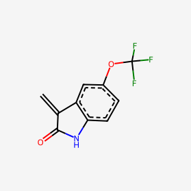 C=C1C(=O)Nc2ccc(OC(F)(F)F)cc21